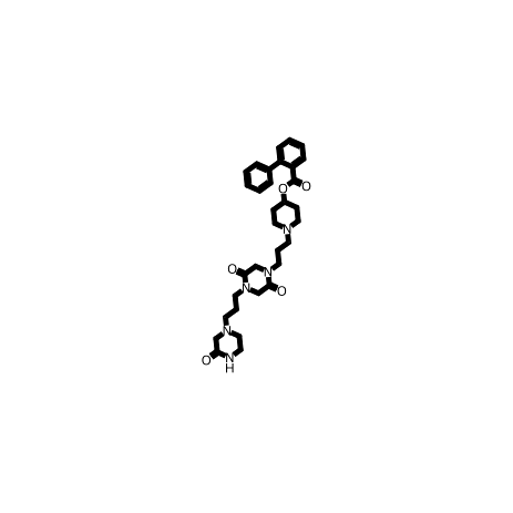 O=C1CN(CCCN2CC(=O)N(CCCN3CCC(OC(=O)c4ccccc4-c4ccccc4)CC3)CC2=O)CCN1